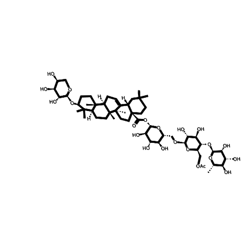 CC(=O)OC[C@H]1O[C@@H](OC[C@H]2O[C@@H](OC(=O)[C@]34CCC(C)(C)C[C@H]3C3=CC[C@@H]5[C@@]6(C)CC[C@H](O[C@@H]7OC[C@H](O)[C@H](O)[C@H]7O)C(C)(C)[C@@H]6CC[C@@]5(C)[C@]3(C)CC4)[C@H](O)[C@@H](O)[C@@H]2O)[C@H](O)[C@@H](O)[C@@H]1O[C@@H]1O[C@@H](C)[C@H](O)[C@@H](O)[C@H]1O